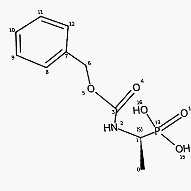 C[C@@H](NC(=O)OCc1ccccc1)P(=O)(O)O